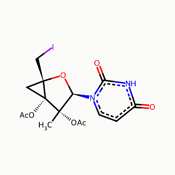 CC(=O)O[C@]12C[C@]1(CI)O[C@@H](n1ccc(=O)[nH]c1=O)[C@]2(C)OC(C)=O